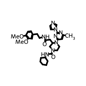 COc1ccc(CCNC(=O)CC2CN(C(=O)NC3CCCCC3)CCN2c2cc(C)nc(-n3ccnc3)n2)cc1OC